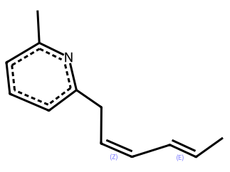 C/C=C/C=C\Cc1cccc(C)n1